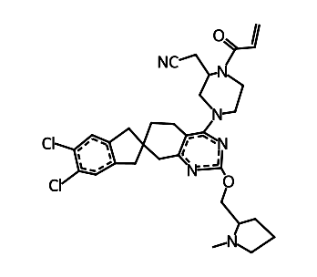 C=CC(=O)N1CCN(c2nc(OCC3CCCN3C)nc3c2CCC2(Cc4cc(Cl)c(Cl)cc4C2)C3)CC1CC#N